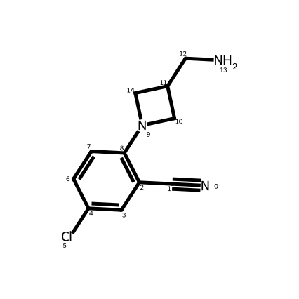 N#Cc1cc(Cl)ccc1N1CC(CN)C1